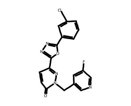 O=c1ccc(-c2nnc(-c3cccc(Cl)c3)o2)nn1Cc1cncc(F)c1